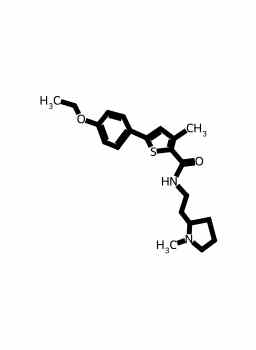 CCOc1ccc(-c2cc(C)c(C(=O)NCCC3CCCN3C)s2)cc1